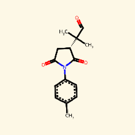 Cc1ccc(N2C(=O)C[C@H](C(C)(C)C=O)C2=O)cc1